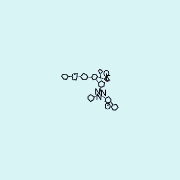 c1ccc(-c2ccc(-c3ccc(-c4ccc5c(c4)-c4cc(-c6nc(-c7ccccc7)nc(-c7ccc8c(c7)oc7ccccc78)n6)ccc4C54c5ccccc5Oc5ccccc54)cc3)cc2)cc1